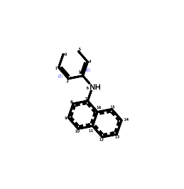 C/C=C\C(=C/C)Nc1cccc2ccccc12